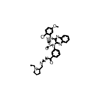 CCN1CCCC1CN=[N+]=NC(=O)c1cccc(N(c2nc3ccccc3nc2Nc2cc(OC)ccc2Cl)[SH](=O)=O)c1